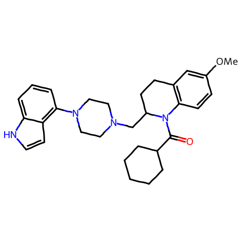 COc1ccc2c(c1)CCC(CN1CCN(c3cccc4[nH]ccc34)CC1)N2C(=O)C1CCCCC1